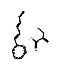 C=C(CC)C(=O)O.C=CC=CC=Cc1ccccc1